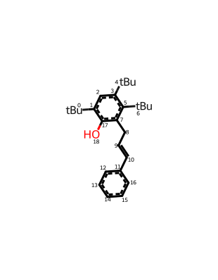 CC(C)(C)c1cc(C(C)(C)C)c(C(C)(C)C)c(CC=Cc2ccccc2)c1O